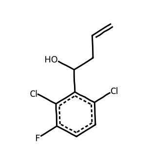 C=CCC(O)c1c(Cl)ccc(F)c1Cl